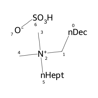 CCCCCCCCCCC[N+](C)(C)CCCCCCC.O=S(=O)([O-])O